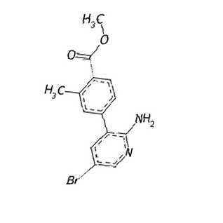 COC(=O)c1ccc(-c2cc(Br)cnc2N)cc1C